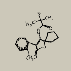 Cc1ccccc1C1=C(OC(=O)C(C)(C)Br)C2(CCCC2)OC1=O